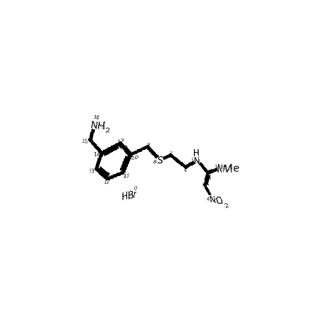 Br.CNC(=C[N+](=O)[O-])NCCSCc1cccc(CN)c1